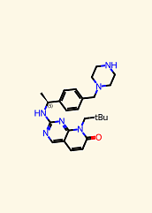 C[C@H](Nc1ncc2ccc(=O)n(CC(C)(C)C)c2n1)c1ccc(CN2CCNCC2)cc1